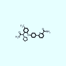 NC(=O)c1cccc(-c2ccc(Oc3ccc(C(F)(F)F)cc3C(C(N)=O)N3CCCC3)cc2)n1